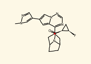 Cn1cc(-c2cc3c(N4CC5CCC(C4)N5C(=O)[C@H]4C[C@H]4F)ncnn3c2)cn1